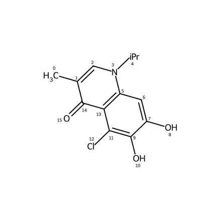 Cc1cn(C(C)C)c2cc(O)c(O)c(Cl)c2c1=O